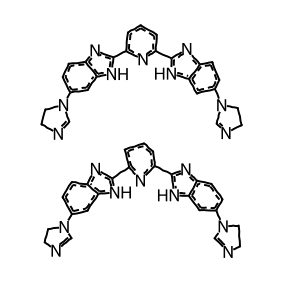 C1=NCCN1c1ccc2nc(-c3cccc(-c4nc5ccc(N6C=NCC6)cc5[nH]4)n3)[nH]c2c1.C1=NCCN1c1ccc2nc(-c3cccc(-c4nc5ccc(N6C=NCC6)cc5[nH]4)n3)[nH]c2c1